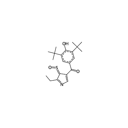 CCC1=NC=C(C(=O)c2cc(C(C)(C)C)c(O)c(C(C)(C)C)c2)C1=S=O